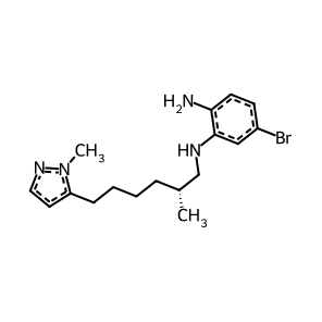 C[C@H](CCCCc1ccnn1C)CNc1cc(Br)ccc1N